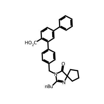 CCCCC1=NC2(CCCC2)C(=O)N1Cc1ccc(-c2cc(-c3ccccc3)ccc2C(=O)O)cc1